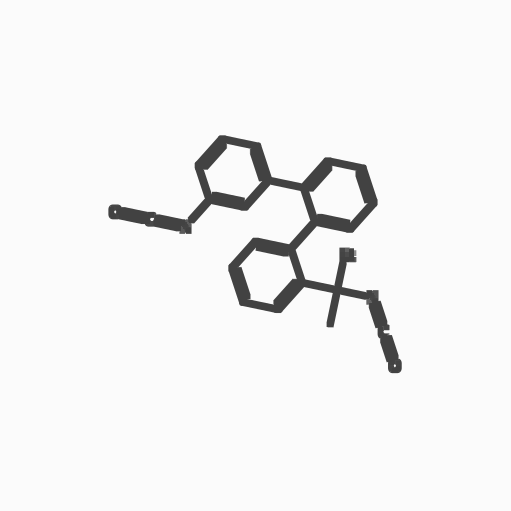 CCC(C)(N=C=O)c1ccccc1-c1ccccc1-c1cccc(N=C=O)c1